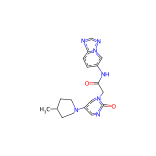 CC1CCN(c2cnc(=O)n(CC(=O)Nc3ccc4ncnn4c3)c2)CC1